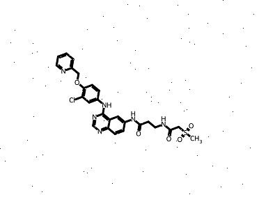 CS(=O)(=O)CC(=O)NCCC(=O)Nc1ccc2ncnc(Nc3ccc(OCc4ccccn4)c(Cl)c3)c2c1